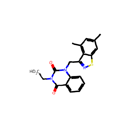 Cc1cc(C)c2c(Cn3c(=O)n(CC(=O)O)c(=O)c4ccccc43)nsc2c1